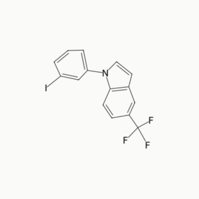 FC(F)(F)c1ccc2c(ccn2-c2cccc(I)c2)c1